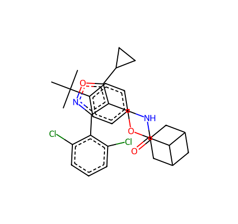 CC(C)(C)c1ccc(NC(=O)C2C3CC(OCc4c(-c5c(Cl)cccc5Cl)noc4C4CC4)CC2C3)cc1